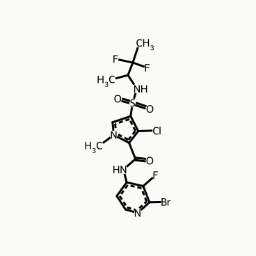 CC(NS(=O)(=O)c1cn(C)c(C(=O)Nc2ccnc(Br)c2F)c1Cl)C(C)(F)F